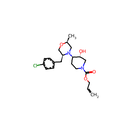 C=CCOC(=O)N1CC[C@@H](N2C[C@H](C)OC[C@@H]2Cc2ccc(Cl)cc2)[C@H](O)C1